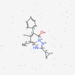 Cc1c(-c2ccccc2)c(=O)n2nc(C3CC3)[nH]c2c1C#N